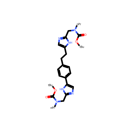 CCCN(Cc1ncc(CCc2ccc(-c3cnc(CN(CCC)C(=O)OC(C)(C)C)[nH]3)cc2)[nH]1)C(=O)OC(C)(C)C